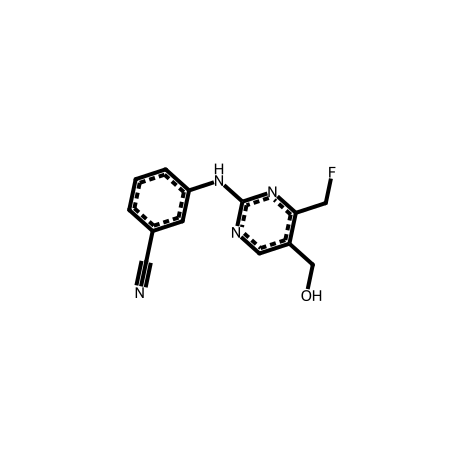 N#Cc1cccc(Nc2ncc(CO)c(CF)n2)c1